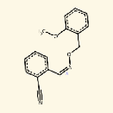 COc1ccccc1CO/N=[C]\c1ccccc1C#N